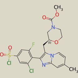 COC(=O)N1CCO[C@@H](Cc2c(-c3c(F)cc(S(=O)(=O)Cl)cc3Cl)nc3cc(C)ccn23)C1